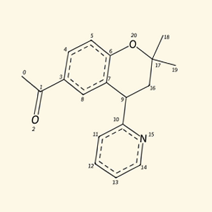 CC(=O)c1ccc2c(c1)C(c1ccccn1)CC(C)(C)O2